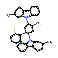 Cc1ccc2c3ccccc3n(-c3cc(C(F)(F)F)c(-n4c5ccccc5c5ccc(C)cc54)cc3-c3c(F)cccc3F)c2c1